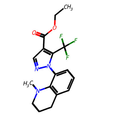 CCOC(=O)c1cnn(-c2cccc3c2N(C)CCC3)c1C(F)(F)F